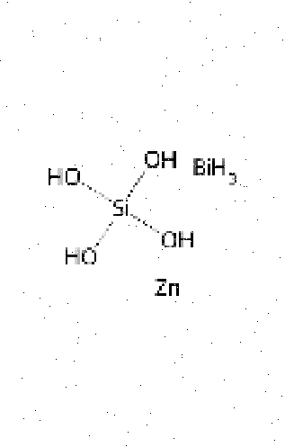 O[Si](O)(O)O.[BiH3].[Zn]